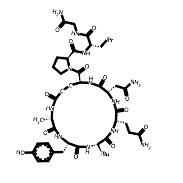 CC[C@H](C)[C@@H]1NC(=O)[C@H](Cc2ccc(O)cc2)NC(=O)[C@H](C)NC(=O)CC[C@@H](C(=O)N2CCC[C@H]2C(=O)N[C@@H](CC(C)C)C(=O)NCC(N)=O)NC(=O)[C@H](CC(N)=O)NC(=O)[C@H](CCC(N)=O)NC1=O